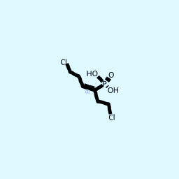 O=P(O)(O)/C(=C\CCCl)CCCl